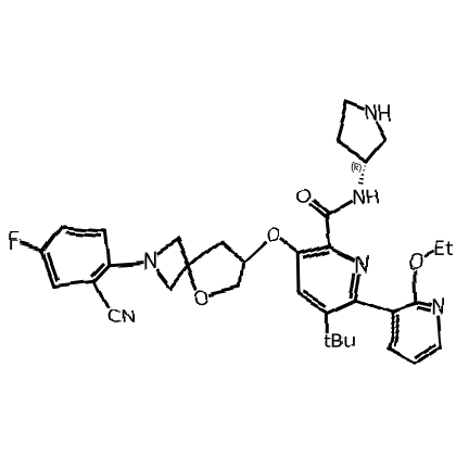 CCOc1ncccc1-c1nc(C(=O)N[C@@H]2CCNC2)c(OC2COC3(C2)CN(c2ccc(F)cc2C#N)C3)cc1C(C)(C)C